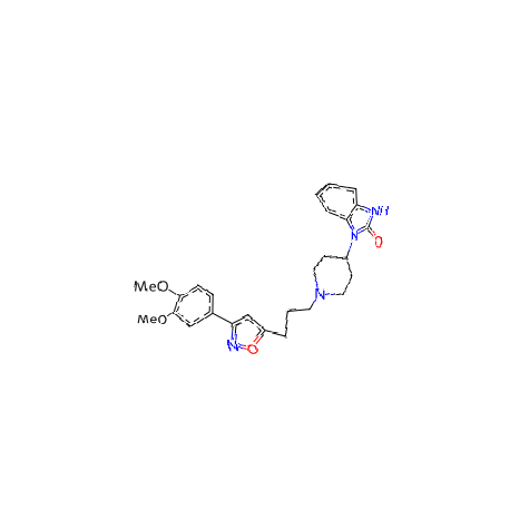 COc1ccc(-c2cc(CCCN3CCC(n4c(=O)[nH]c5ccccc54)CC3)on2)cc1OC